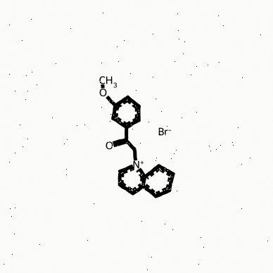 COc1cccc(C(=O)C[n+]2cccc3ccccc32)c1.[Br-]